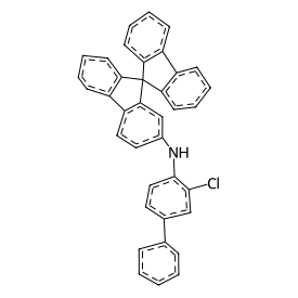 Clc1cc(-c2ccccc2)ccc1Nc1ccc2c(c1)C1(c3ccccc3-c3ccccc31)c1ccccc1-2